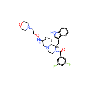 C/C(CN1CCN(C(=O)c2cc(F)cc(F)c2)[C@H](Cc2c[nH]c3ccccc23)C1)=N\OCCN1CCOCC1